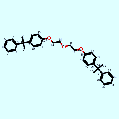 CC(C)(c1ccccc1)c1ccc(OCCOCCOc2ccc(C(C)(C)c3ccccc3)cc2)cc1